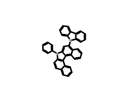 c1ccc(-n2c3ccc4ccccc4c3c3c4ccccc4c(-n4c5ccccc5c5ccccc54)cc32)cc1